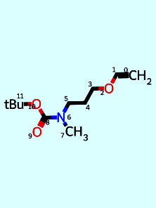 C=COCCCN(C)C(=O)OC(C)(C)C